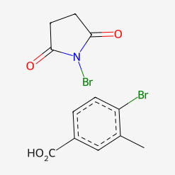 Cc1cc(C(=O)O)ccc1Br.O=C1CCC(=O)N1Br